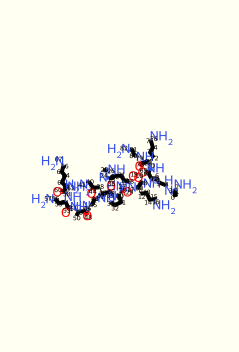 C=C(N)NCC/C=C(\NC(=O)[C@H](CCCCN)NC(=O)C(Cc1cnc[nH]1)NC(=O)[C@@H]1CCCN1C(=O)[C@@H](CCCN)NC(=O)CNC(=O)C(C)NC(=O)C(CCN)NC(=O)C(N)CCCCN)C(=O)N[C@@H](CCCCN)C(=O)NCCN